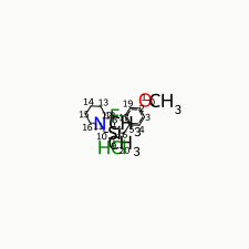 COc1ccc(C[Si](C)(C)CN2CCCCC2)c(F)c1.Cl